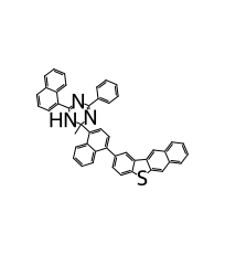 CC1(c2ccc(-c3ccc4sc5cc6ccccc6cc5c4c3)c3ccccc23)N=C(c2ccccc2)N=C(c2cccc3ccccc23)N1